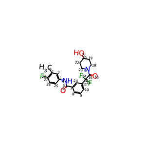 Cc1cc(NC(=O)c2cccc(C(F)(F)C(=O)N3CCC(O)CC3)c2)ccc1F